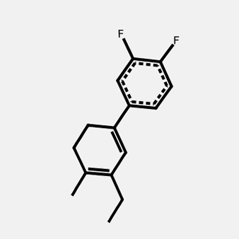 CCC1=C(C)CCC(c2ccc(F)c(F)c2)=C1